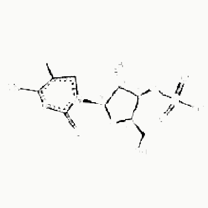 CS(=O)(=O)O[C@@H]1[C@@H](O)[C@H](n2cc(I)c(N)nc2=O)O[C@@H]1CO